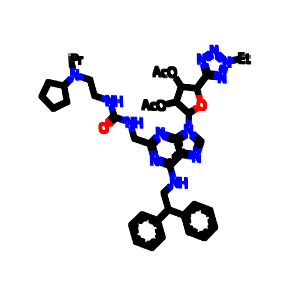 CCn1nnc(C2OC(n3cnc4c(NCC(c5ccccc5)c5ccccc5)nc(CNC(=O)NCCN(C(C)C)C5CCCC5)nc43)C(OC(C)=O)C2OC(C)=O)n1